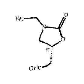 N#CCN1C[C@@H](CC=O)OC1=O